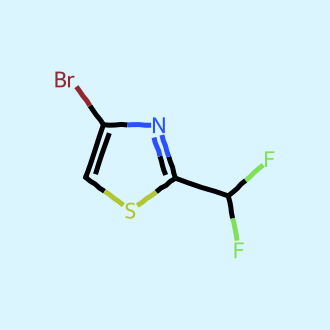 FC(F)c1nc(Br)cs1